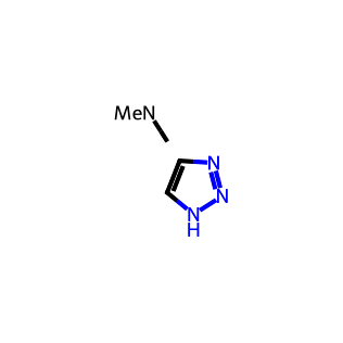 CNC.c1c[nH]nn1